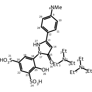 CCN(CC)CC.CCN(CC)CC.CNc1ccc(-c2cc(=O)n(-c3cc(S(=O)(=O)O)cc(S(=O)(=O)O)c3O)[nH]2)cc1